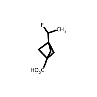 CC(F)C12CC(C(=O)O)(C1)C2